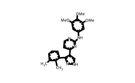 COc1cc(Nc2nccc(-c3c[nH]nc3-c3cccc(C)c3C)n2)cc(OC)c1OC